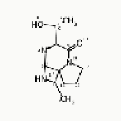 CC1NC2=N[C@@H]([C@@H](C)O)C(=O)N3CCCC213